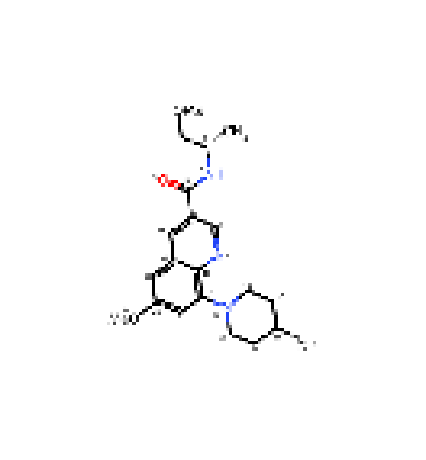 COC[C@H](C)NC(=O)c1cnc2c(N3CCC(C(F)(F)F)CC3)cc(OC)cc2c1